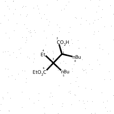 CCCCC(C(=O)O)C(CC)(CCCC)C(=O)OCC